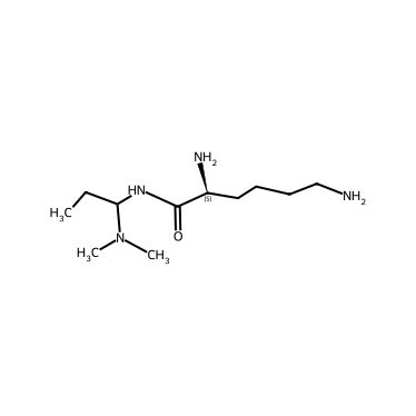 CCC(NC(=O)[C@@H](N)CCCCN)N(C)C